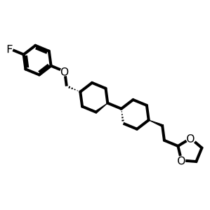 Fc1ccc(OC[C@H]2CC[C@H]([C@H]3CC[C@H](CCC4OCCO4)CC3)CC2)cc1